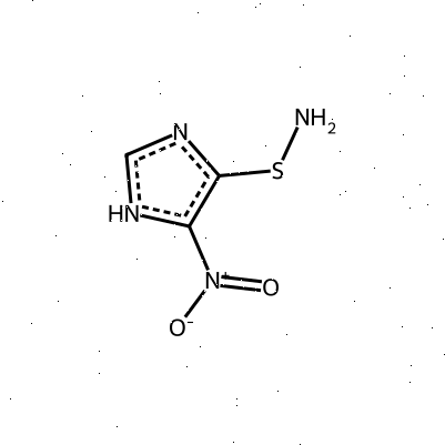 NSc1nc[nH]c1[N+](=O)[O-]